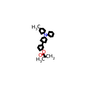 C=C(C)C(=O)Oc1cccc(-c2ccc(N(c3ccccc3)c3ccc(C)cc3)cc2)c1